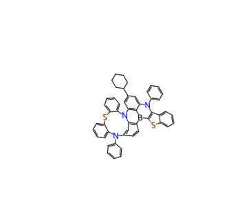 c1ccc(N2c3ccc4c(c3)N(c3ccccc3Sc3ccccc32)c2cc(C3CCCCC3)cc3c2B4c2sc4ccccc4c2N3c2ccccc2)cc1